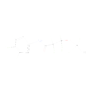 CC(F)(F)OC(F)(F)C(F)(F)C(=O)Nc1cc(F)c(F)c(F)c1